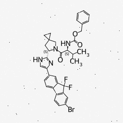 CC(C)[C@H](NC(=O)OCc1ccccc1)C(=O)N1CC2(CC2)C[C@H]1c1nc(-c2ccc3c(c2)C(F)(F)c2cc(Br)ccc2-3)c[nH]1